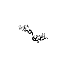 CC(C)(C)OC(=O)N1CCC(CCOc2cccc3c2C(=O)N(C2CCC(=O)NC2=O)C3=O)CC1